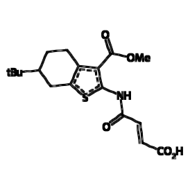 COC(=O)c1c(NC(=O)C=CC(=O)O)sc2c1CCC(C(C)(C)C)C2